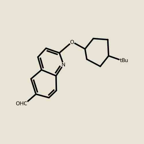 CC(C)(C)C1CCC(Oc2ccc3cc(C=O)ccc3n2)CC1